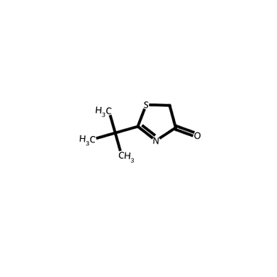 CC(C)(C)C1=NC(=O)CS1